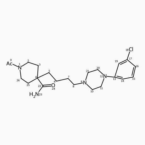 CC(=O)N1CCC(CCCCN2CCN(c3cccc(Cl)c3)CC2)(C(N)=O)CC1